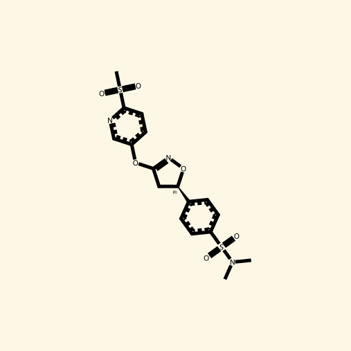 CN(C)S(=O)(=O)c1ccc([C@H]2CC(Oc3ccc(S(C)(=O)=O)nc3)=NO2)cc1